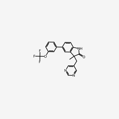 CC1(Cc2cncnc2)C(=O)Nc2ccc(-c3cccc(OC(F)(F)F)c3)cc21